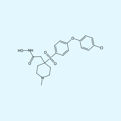 CN1CCC(CC(=O)NO)(S(=O)(=O)c2ccc(Oc3ccc(Cl)cc3)cc2)CC1